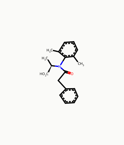 Cc1cccc(C)c1N(C(=O)Cc1ccccc1)[C@H](C)C(=O)O